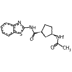 CC(=O)N[C@@H]1CC[C@H](C(=O)Nc2nc3ccccc3s2)C1